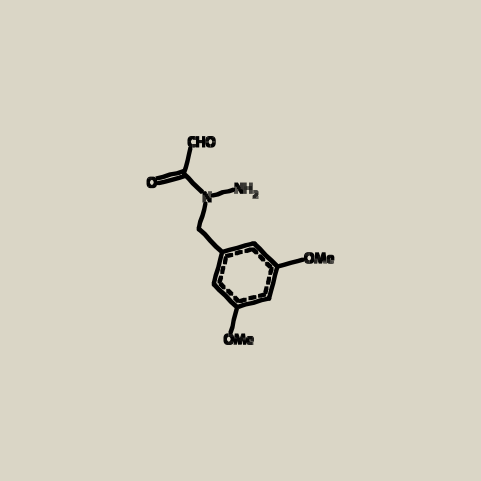 COc1cc(CN(N)C(=O)C=O)cc(OC)c1